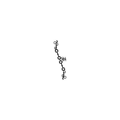 C=CC(=O)OCCOc1ccc(C#Cc2ccc(-c3ccc(C#Cc4ccc(OCCOC(=O)C=C)cc4)cc3S)c(S)c2)cc1